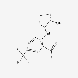 O=[N+]([O-])c1cc(C(F)(F)F)ccc1NC1CCCC1O